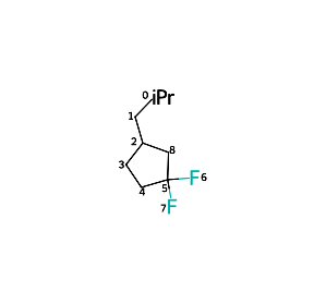 CC(C)CC1CCC(F)(F)C1